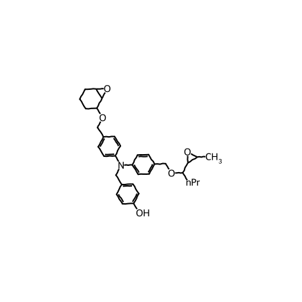 CCCC(OCc1ccc(N(Cc2ccc(O)cc2)c2ccc(COC3CCCC4OC34)cc2)cc1)C1OC1C